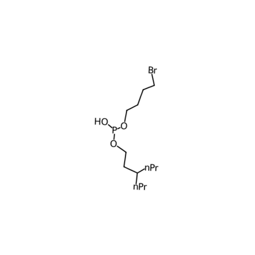 CCCC(CCC)CCOP(O)OCCCCBr